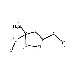 CCOC([SiH3])(CCCCl)OCC